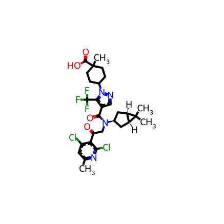 Cc1cc(Cl)c(C(=O)CN(C(=O)c2cnn(C3CCC(C)(C(=O)O)CC3)c2C(F)(F)F)[C@H]2C[C@@H]3[C@H](C2)C3(C)C)c(Cl)n1